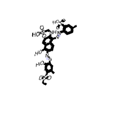 CCS(=O)(=O)c1cc(O)c(/N=N/c2ccc3c(/N=N/c4ccc(C)cc4S(=O)(=O)O)c(NCS(=O)(=O)O)ccc3c2O)cc1C